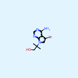 CC(C)(CO)n1cc(Br)c2c(N)ncnc21